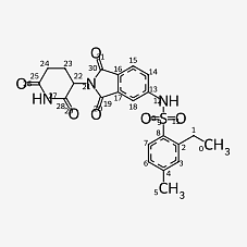 CCc1cc(C)ccc1S(=O)(=O)Nc1ccc2c(c1)C(=O)N(C1CCC(=O)NC1=O)C2=O